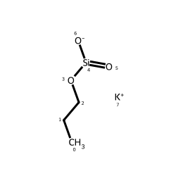 CCCO[Si](=O)[O-].[K+]